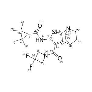 CC1(C)C(C(=O)Nc2sc3c(c2C(=O)N2CC(F)(F)C2)C2CCN3CC2)C1(C)C